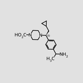 CC(N)c1ccc([C@H](CC2CC2)N2CCN(C(=O)O)CC2)cc1